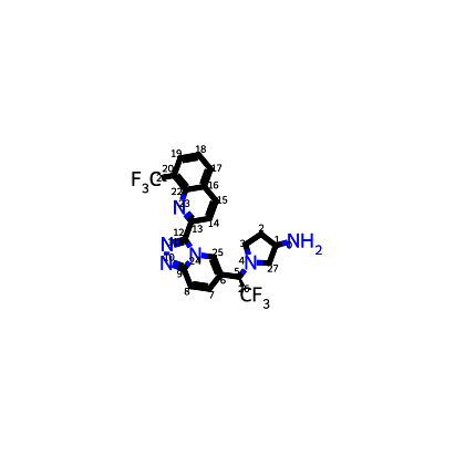 NC1CCN([C@H](c2ccc3nnc(-c4ccc5cccc(C(F)(F)F)c5n4)n3c2)C(F)(F)F)C1